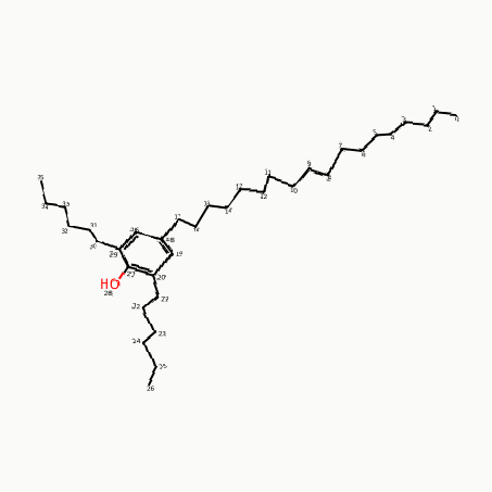 CCCCCCCCCCCCCCCCCCc1cc(CCCCCC)c(O)c(CCCCCC)c1